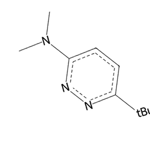 CN(C)c1ccc(C(C)(C)C)nn1